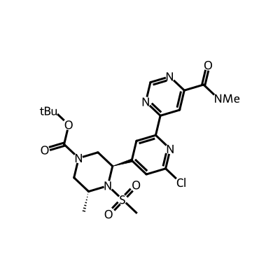 CNC(=O)c1cc(-c2cc([C@@H]3CN(C(=O)OC(C)(C)C)C[C@@H](C)N3S(C)(=O)=O)cc(Cl)n2)ncn1